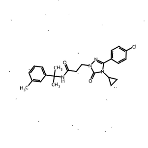 Cc1cccc(C(C)(C)NC(=O)CCn2nc(-c3ccc(Cl)cc3)n(C3CC3)c2=O)c1